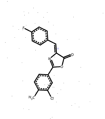 Cc1ccc(C2=N/C(=C\c3ccc(F)cc3)C(=O)O2)cc1Cl